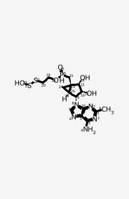 Cc1nc(N)c2ncn([C@H]3[C@H](O)[C@H](O)[C@@]4(C[PH](=O)OCCSSO)C[C@H]34)c2n1